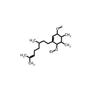 CCOC1C(CCC(C)CCC=C(C)C)=CC(OI)C(C)C1C